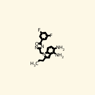 CCCc1cc2c(N)c(N)ccc2n1Cc1noc(-c2cc(F)cc(F)c2)n1